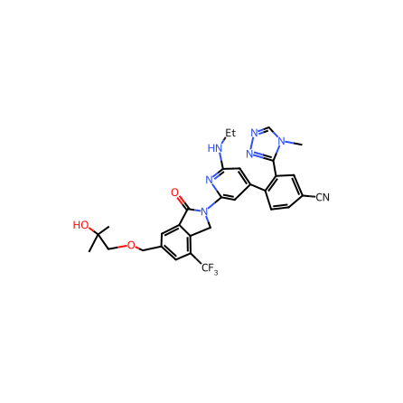 CCNc1cc(-c2ccc(C#N)cc2-c2nncn2C)cc(N2Cc3c(cc(COCC(C)(C)O)cc3C(F)(F)F)C2=O)n1